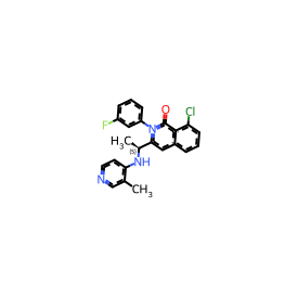 Cc1cnccc1N[C@@H](C)c1cc2cccc(Cl)c2c(=O)n1-c1cccc(F)c1